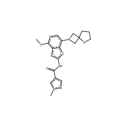 COc1ncc(N2CC3(CCCO3)C2)c2sc(NC(=O)c3cnn(C)c3)nc12